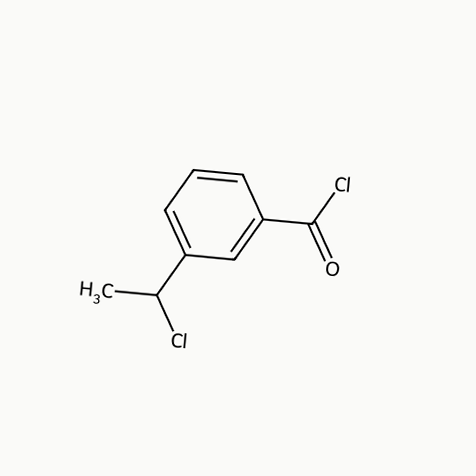 CC(Cl)c1cccc(C(=O)Cl)c1